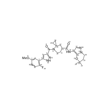 COc1cc(-c2cc(C(=O)N3CCC(C(=O)Nc4cnn5c4OC(C)(C)CC5)CC34CC4)n[nH]2)c(F)cn1